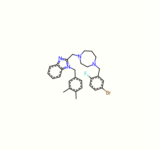 Cc1ccc(Cn2c(CN3CCCN(Cc4cc(Br)ccc4F)CC3)nc3ccccc32)cc1C